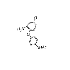 CC(=O)Nc1ccc(Oc2ccc(Cl)cc2N)cc1